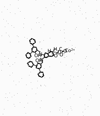 CC(=O)[O-].CC(=O)[O-].Oc1c(C=Nc2cc3ccccc3cc2N=Cc2cc(-c3ccccc3)cc(-c3ccccc3)c2O)cc(-c2ccccc2)cc1-c1ccccc1.[Co+2]